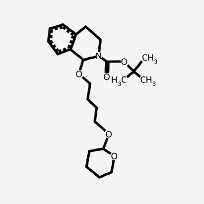 CC(C)(C)OC(=O)N1CCc2ccccc2C1OCCCCOC1CCCCO1